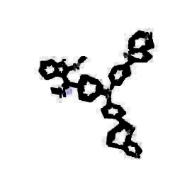 C=Nc1sc2ccccc2c1/C(=N\C)c1ccc(N(c2ccc(-c3ccc4cnccc4n3)cc2)c2ccc(-c3ccc4cnccc4n3)cc2)cc1